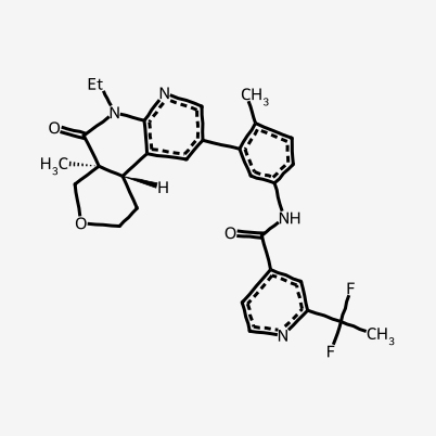 CCN1C(=O)[C@]2(C)COCC[C@H]2c2cc(-c3cc(NC(=O)c4ccnc(C(C)(F)F)c4)ccc3C)cnc21